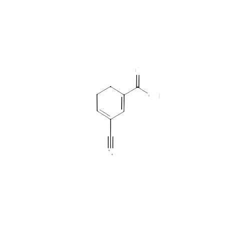 N#CC1=CCCC(C(=O)O)=C1